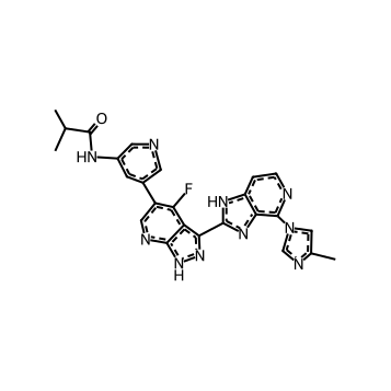 Cc1cn(-c2nccc3[nH]c(-c4n[nH]c5ncc(-c6cncc(NC(=O)C(C)C)c6)c(F)c45)nc23)cn1